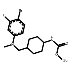 CN(CC1CCC(NC(=O)OC(C)(C)C)CC1)c1ccc(Br)c(F)c1